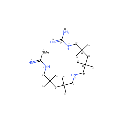 CNC(=N)NCC(C)(C)CC(C)(C)CNCC(C)(C)CC(C)(C)CNC(=N)N